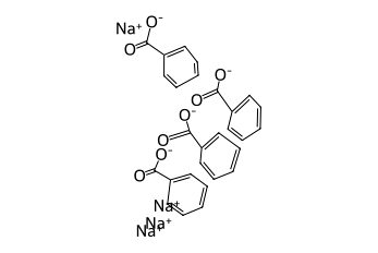 O=C([O-])c1ccccc1.O=C([O-])c1ccccc1.O=C([O-])c1ccccc1.O=C([O-])c1ccccc1.[Na+].[Na+].[Na+].[Na+]